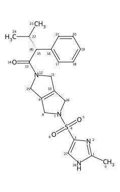 Cc1nc(S(=O)(=O)N2CC3=C(CN(C(=O)[C@@H](c4ccccc4)C(C)C)C3)C2)c[nH]1